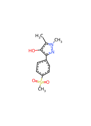 Cc1c(O)c(-c2ccc(S(C)(=O)=O)cc2)nn1C